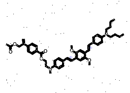 C=C(COC(C)=O)c1ccc(C(=O)OCCN(C)c2ccc(/C=C/c3cc(OC)c(/C=C/c4ccc(N(CCCC)CCCC)cc4)cc3OC)cc2)cc1